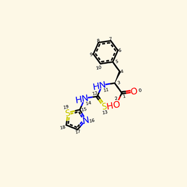 O=C(O)[C@H](Cc1ccccc1)NC(=S)Nc1nccs1